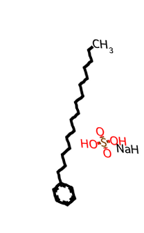 CCCCCCCCCCCCCCCCc1ccccc1.O=S(=O)(O)O.[NaH]